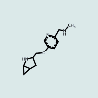 CNCc1ccc(OCC2CC3CC3N2)cn1